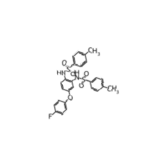 Cc1ccc(S(=O)(=O)Nc2ccc(Oc3ccc(F)cc3)cc2NS(=O)(=O)c2ccc(C)cc2)cc1